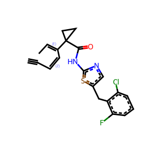 C#C/C=C\C(=C/C)C1(C(=O)Nc2ncc(Cc3c(F)cccc3Cl)s2)CC1